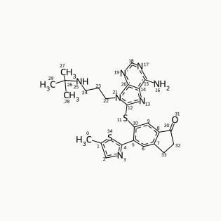 Cc1cnc(-c2cc3c(cc2Sc2nc4c(N)ncnc4n2CCCNC(C)(C)C)C(=O)CC3)s1